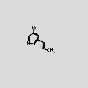 C/C=C/c1cncc(Br)c1